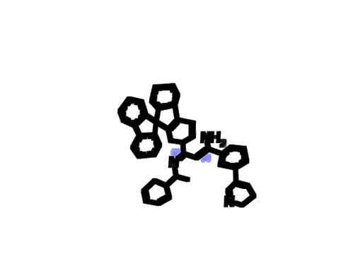 CC(/N=C(\C=C(/N)c1cccc(C2=CCCN=C2)c1)C1C=CC2=C(C1)C1(c3ccccc32)c2ccccc2-c2ccccc21)C1C=CC=CC1